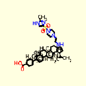 C=C(C)[C@@H]1CC[C@]2(NCCN3CCN(S(=O)(=O)c4c[nH]c(C)n4)CC3)CC[C@]3(C)[C@H](CC[C@@H]4[C@@]5(C)CC=C(c6ccc(C(=O)O)cc6)C(C)(C)[C@@H]5CC[C@]43C)[C@@H]12